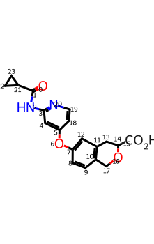 O=C(Nc1cc(Oc2ccc3c(c2)CC(C(=O)O)OC3)ccn1)C1CC1